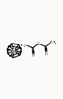 CC(=O)OC(C)=O.[CH]12[CH]3[CH]4[CH]5[CH]1[V]23451678[CH]2[CH]1[CH]6[CH]7[CH]28